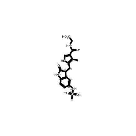 Cc1c(C(=O)NCC(=O)O)c[nH]c1CC1C(=O)Nc2ccc(NS(C)(=O)=O)cc21